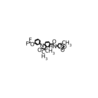 C[C@@H]1C[C@@H](NC(=O)c2ccc3c(c2)C(C)(C)C(=O)N3c2cccc(OC(F)F)c2)CS1(=O)=O